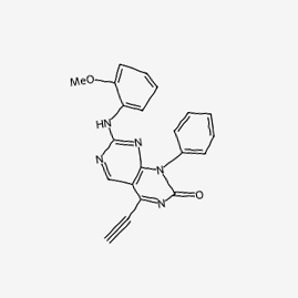 C#Cc1nc(=O)n(-c2ccccc2)c2nc(Nc3ccccc3OC)ncc12